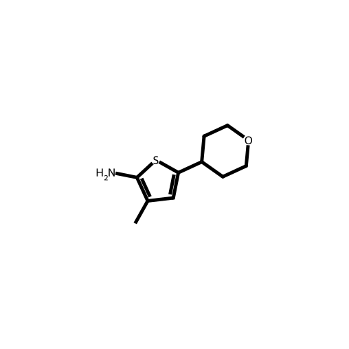 Cc1cc(C2CCOCC2)sc1N